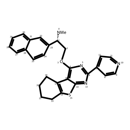 CN[C@H](COc1nc(-c2ccncc2)nc2sc3c(c12)CCCC3)c1ccc2ccccc2c1